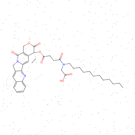 CCCCCCCCCCCCN(CC(=O)O)C(=O)CCC(=O)O[C@]1(CC)C(=O)OCc2c1cc1n(c2=O)Cc2cc3ccccc3nc2-1